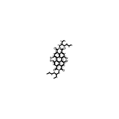 CCCCC(CC)CN1C(=O)c2cc(Br)c3c4c(Br)cc5c6c(cc(Br)c(c7c(Br)cc(c2c37)C1=O)c64)C(=O)N(CC(CC)CCCC)C5=O